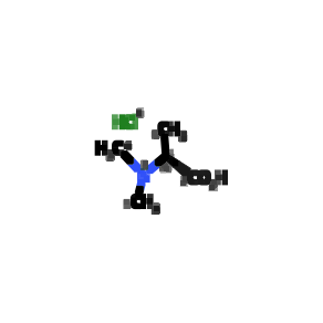 C[C@@H](C(=O)O)N(C)C.Cl